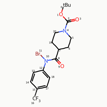 CC(C)(C)OC(=O)N1CCC(C(=O)N(Br)c2ccc(C(F)(F)F)cc2)CC1